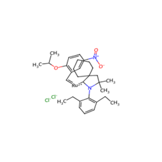 CCc1cccc(CC)c1N1[CH](/[Ru+2]=[CH]\c2cc([N+](=O)[O-])ccc2OC(C)C)C2(CCCCC2)CC1(C)C.[Cl-].[Cl-]